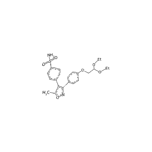 CCOC(COc1ccc(-c2noc(C)c2-c2ccc(S(N)(=O)=O)cc2)cc1)OCC